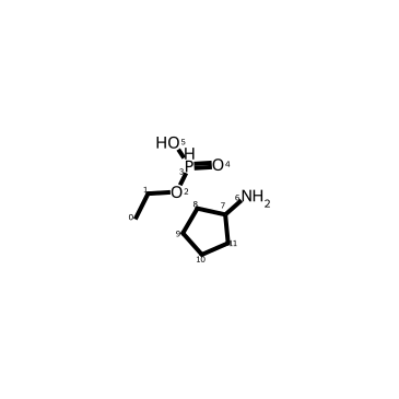 CCO[PH](=O)O.NC1CCCC1